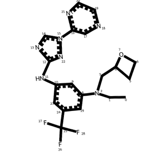 CCN(CC1CCO1)c1cc(Nc2ncn(-c3cnccn3)n2)cc(C(F)(F)F)c1